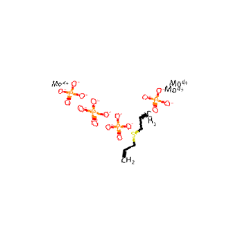 C=CCSCC=C.O=P([O-])([O-])[O-].O=P([O-])([O-])[O-].O=P([O-])([O-])[O-].O=P([O-])([O-])[O-].[Mo+4].[Mo+4].[Mo+4]